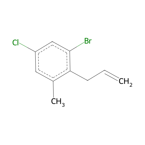 C=CCc1c(C)cc(Cl)cc1Br